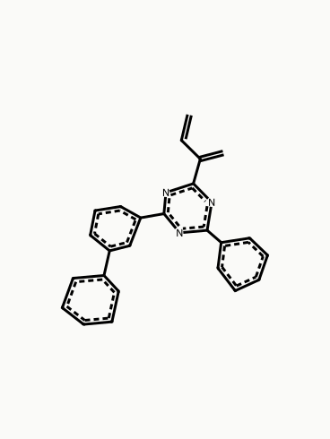 C=CC(=C)c1nc(-c2ccccc2)nc(-c2cccc(-c3ccccc3)c2)n1